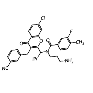 Cc1ccc(C(=O)N(CCCN)C(c2oc3cc(Cl)ccc3c(=O)c2Cc2cccc(C#N)c2)C(C)C)cc1F